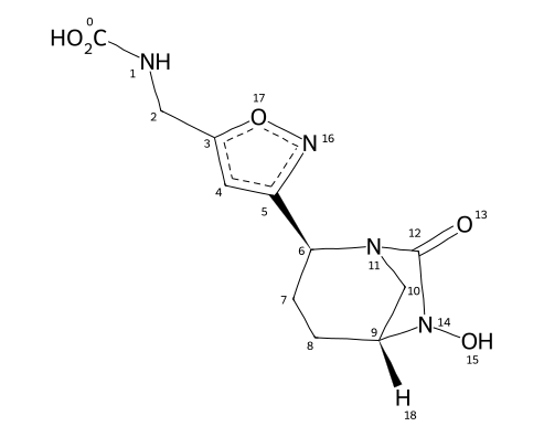 O=C(O)NCc1cc([C@@H]2CC[C@@H]3CN2C(=O)N3O)no1